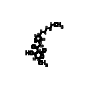 CCCCCCc1csc(CC(=O)c2c(O)cc(C)oc2=O)c1